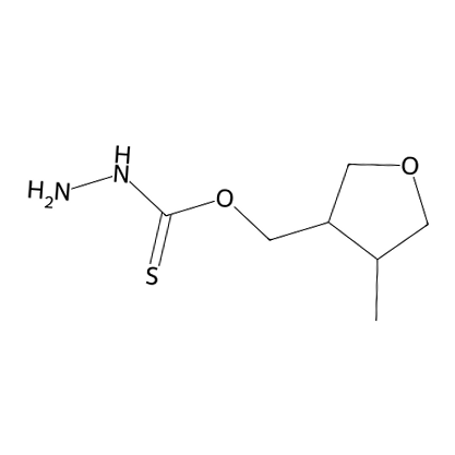 CC1COCC1COC(=S)NN